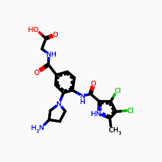 Cc1[nH]c(C(=O)Nc2ccc(C(=O)NCC(=O)O)cc2N2CCC(N)C2)c(Cl)c1Cl